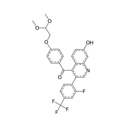 COC(COc1ccc(C(=O)c2c(-c3ccc(C(F)(F)F)cc3F)cnc3cc(O)ccc23)cc1)OC